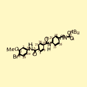 COc1cc(NC(=O)c2ccc(C(=O)Nc3ccc(CNC(=O)OC(C)(C)C)cc3)cc2)ccc1Br